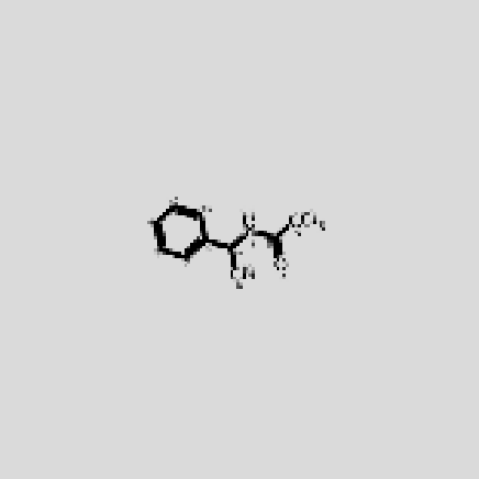 N#CC(NC(=O)C(Cl)(Cl)Cl)c1ccccc1